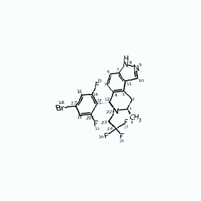 C[C@@H]1Cc2c(ccc3[nH]ncc23)[C@@H](c2c(F)cc(Br)cc2F)N1CC(F)(F)F